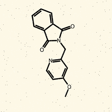 COc1ccnc(CN2C(=O)c3ccccc3C2=O)c1